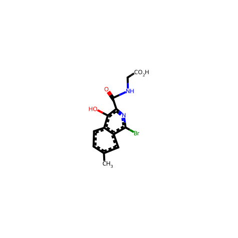 Cc1ccc2c(O)c(C(=O)NCC(=O)O)nc(Br)c2c1